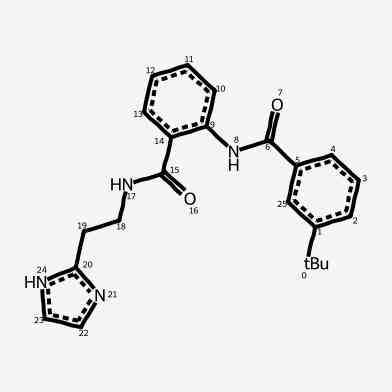 CC(C)(C)c1cccc(C(=O)Nc2ccccc2C(=O)NCCc2ncc[nH]2)c1